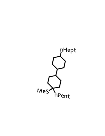 CCCCCCCC1CCC(C2CCC(CCCCC)(SC)CC2)CC1